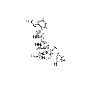 COc1ccccc1-c1cc(C(=O)N[C@@H](CC(C)(C)C)C(=O)N[C@H](C#N)C[C@@H]2CCNC2=O)[nH]n1